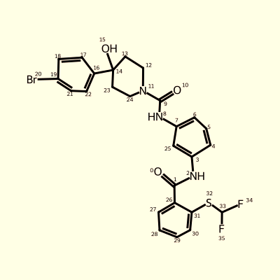 O=C(Nc1cccc(NC(=O)N2CCC(O)(c3ccc(Br)cc3)CC2)c1)c1ccccc1SC(F)F